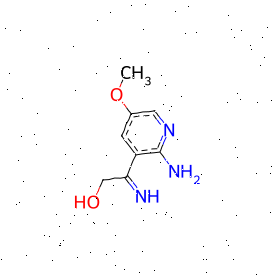 COc1cnc(N)c(C(=N)CO)c1